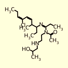 CC/C=C(Cl)\C=C/C(C)C(CC)/N=C(/CC)N(CCNCC(C)O)C(C)=O